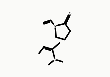 C=CN1CCCC1=O.CC=C(C)N(C)C